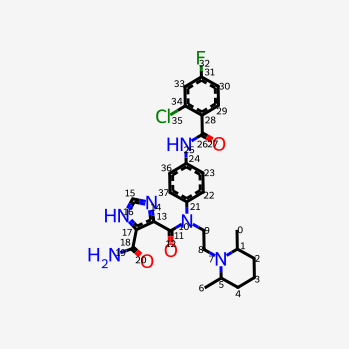 CC1CCCC(C)N1CCN(C(=O)c1nc[nH]c1C(N)=O)c1ccc(NC(=O)c2ccc(F)cc2Cl)cc1